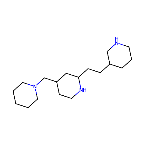 C1CCN(CC2CCNC(CCC3CCCNC3)C2)CC1